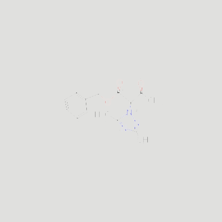 CC(=O)C(C(=O)OCc1ccccc1)n1nc(C)nc1C